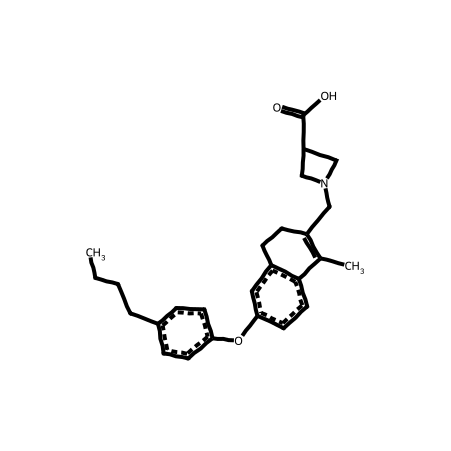 CCCCc1ccc(Oc2ccc3c(c2)CCC(CN2CC(C(=O)O)C2)=C3C)cc1